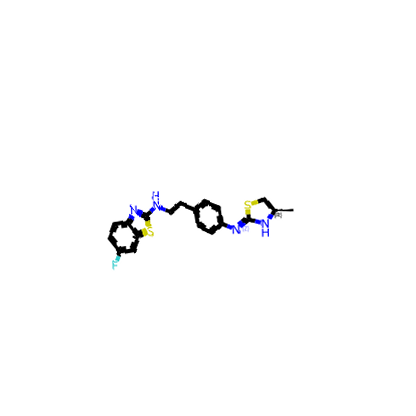 C[C@@H]1CS/C(=N\c2ccc(CCNc3nc4ccc(F)cc4s3)cc2)N1